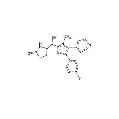 Cn1c(C(S)C2COC(=O)N2)nc(-c2ccc(F)cc2)c1-c1ccncc1